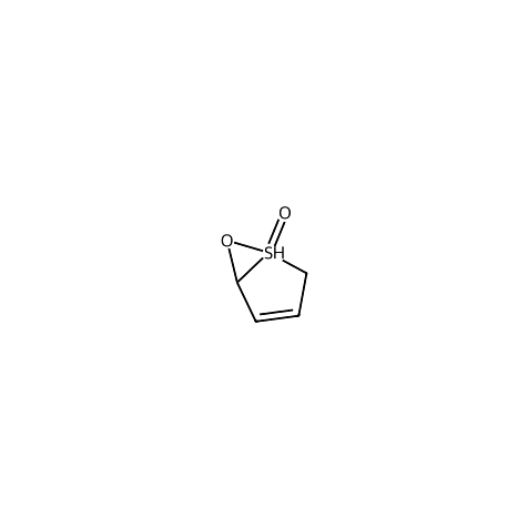 O=[SH]12CC=CC1O2